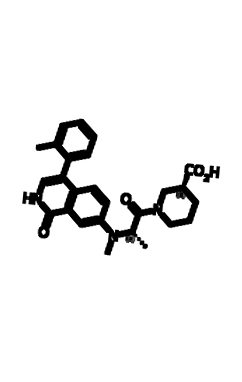 Cc1ccccc1-c1c[nH]c(=O)c2cc(N(C)[C@@H](C)C(=O)N3CCC[C@H](C(=O)O)C3)ccc12